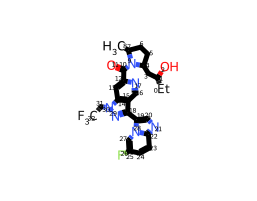 CCC(O)CC1CCC(C)N1C(=O)c1cc2c(cn1)c(-c1cnc3ccc(F)cn13)nn2CC(F)(F)F